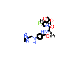 CC(C)C[C@H](NC(=O)c1ccc(NCc2nccn2C)cc1)C(=O)N1C[C@H](F)[C@H]2OCC(=O)[C@H]21